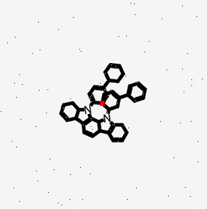 C1=CC(N2C3=C(C=CCC3)C3C=CC4=C(C32)N(C2=CC=C(C3CC=CCC3)CC2)C2CCC=CC42)CC(c2ccccc2)=C1